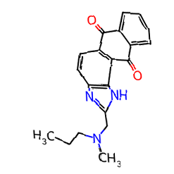 CCCN(C)Cc1nc2ccc3c(c2[nH]1)C(=O)c1ccccc1C3=O